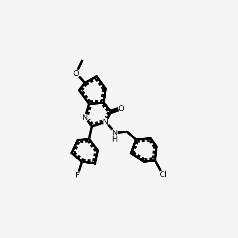 COc1ccc2c(=O)n(NCc3ccc(Cl)cc3)c(-c3ccc(F)cc3)nc2c1